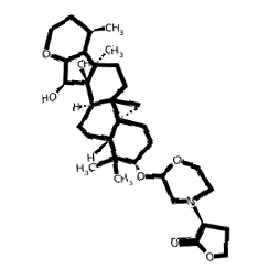 C[C@@H]1CCOC2C1[C@@]1(C)CCC34C[C@@]35CC[C@H](OC3CN([C@H]6CCOC6=O)CCO3)C(C)(C)[C@@H]5CC[C@H]4[C@]1(C)[C@H]2O